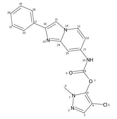 Cn1ncc(Cl)c1OC(=O)Nc1ccn2cc(-c3ccccc3)nc2c1